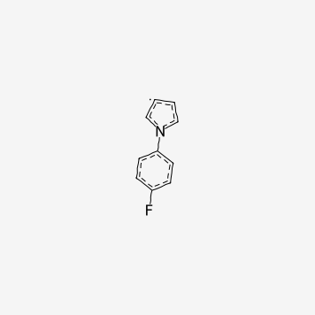 Fc1ccc(-n2c[c]cc2)cc1